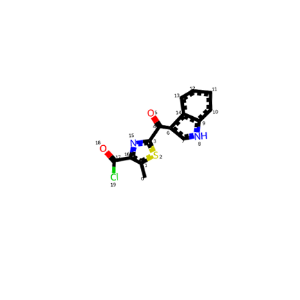 Cc1sc(C(=O)c2c[nH]c3ccccc23)nc1C(=O)Cl